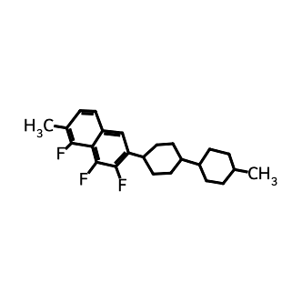 Cc1ccc2cc(C3CCC(C4CCC(C)CC4)CC3)c(F)c(F)c2c1F